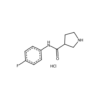 Cl.O=C(Nc1ccc(F)cc1)C1CCNC1